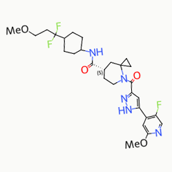 COCCC(F)(F)C1CCC(NC(=O)[C@H]2CCN(C(=O)c3cc(-c4cc(OC)ncc4F)[nH]n3)C3(CC3)C2)CC1